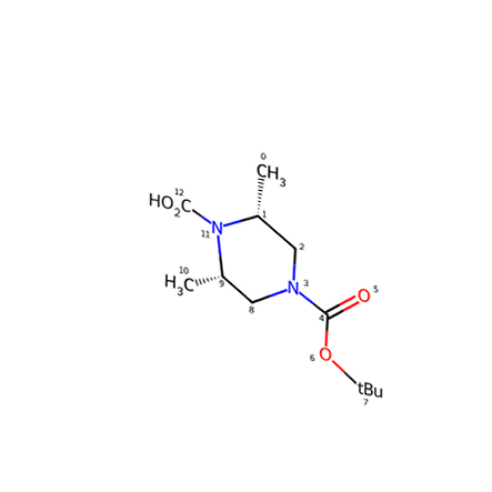 C[C@@H]1CN(C(=O)OC(C)(C)C)C[C@H](C)N1C(=O)O